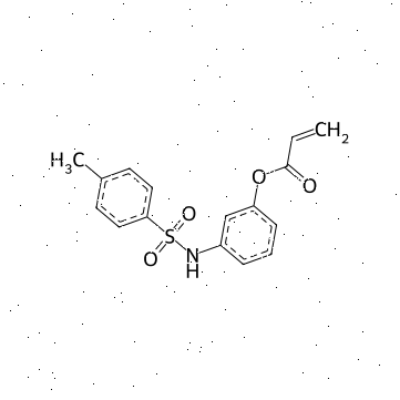 C=CC(=O)Oc1cccc(NS(=O)(=O)c2ccc(C)cc2)c1